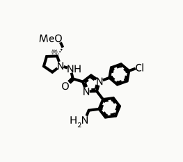 COC[C@H]1CCCN1NC(=O)c1cn(-c2ccc(Cl)cc2)c(-c2ccccc2CN)n1